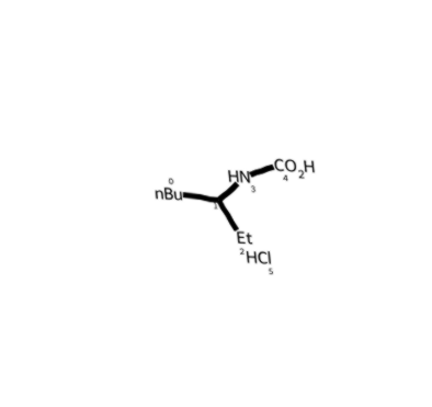 CCCCC(CC)NC(=O)O.Cl